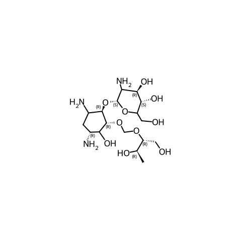 C[C@@H](O)[C@@H](CO)OCO[C@@H]1C(O)[C@H](N)CC(N)[C@H]1O[C@H]1OC(CO)[C@@H](O)[C@H](O)C1N